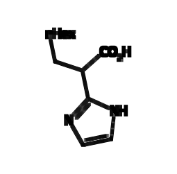 CCCCCCCC(C(=O)O)c1ncc[nH]1